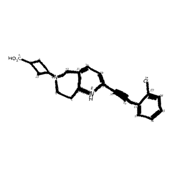 O=C(O)C1CC(N2CCC3NC(C#Cc4ccccc4Cl)=CC=C3C2)C1